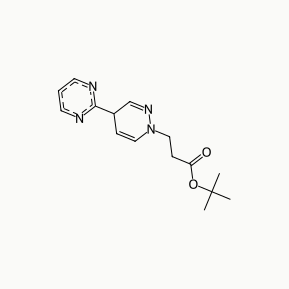 CC(C)(C)OC(=O)CCN1C=CC(c2ncccn2)C=N1